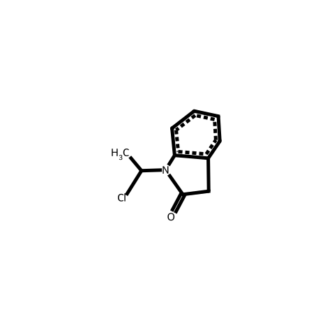 CC(Cl)N1C(=O)Cc2ccccc21